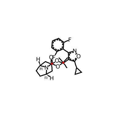 CC(C)(C)OC(=O)N1[C@@H]2CC[C@H]1CC(OCc1c(-c3c(F)cccc3F)noc1C1CC1)C2